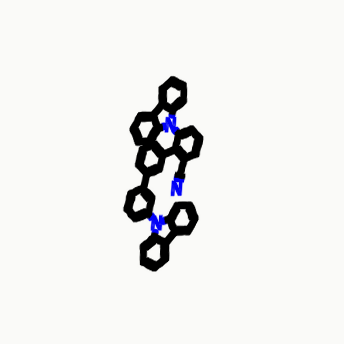 N#Cc1cccc(-n2c3ccccc3c3ccccc32)c1-c1cccc(-c2cccc(-n3c4ccccc4c4ccccc43)c2)c1